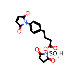 O=C(CCCc1ccc(N2C(=O)C=CC2=O)cc1)O[N+]1(S(=O)(=O)O)C(=O)CCC1=O